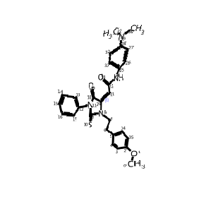 COc1ccc(CCN2C(=S)N(c3ccccc3)C(=O)/C2=C\C(=O)Nc2ccc(N(C)C)cc2)cc1